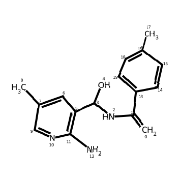 C=C(NC(O)c1cc(C)cnc1N)c1ccc(C)cc1